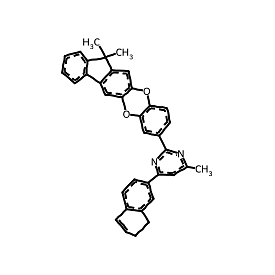 Cc1cc(-c2ccc3c(c2)CCC=C3)nc(-c2ccc3c(c2)Oc2cc4c(cc2O3)C(C)(C)c2ccccc2-4)n1